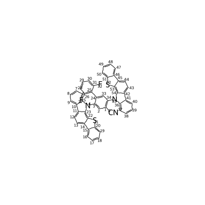 N#Cc1cc(-n2c3ccccc3c3ccc4c5ccccc5sc4c32)c(-c2c(F)cccc2F)cc1-n1c2ccccc2c2ccc3c4ccccc4sc3c21